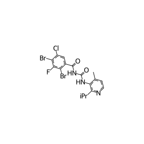 Cc1ccnc(C(C)C)c1NC(=O)NC(=O)c1cc(Cl)c(Br)c(F)c1Br